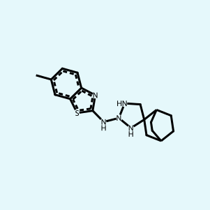 Cc1ccc2nc(NN3NCC4(CC5CCC4CC5)N3)sc2c1